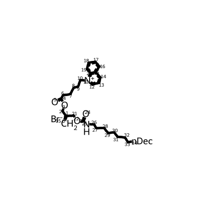 C=C(COC(=O)CCCCC[n+]1cccc2ccccc21)COC(=O)NCCCCCCCCCCCCCCCCCC.[Br-]